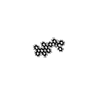 c1ccc(-c2oc3c(-c4ccc(-c5c6ccccc6c(-c6cc7c8ccccc8c8ccccc8c7c7ccccc67)c6ccccc56)cc4)cccc3c2-c2ccccc2)cc1